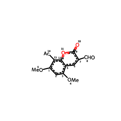 COc1cc(OC)c2cc(C=O)c(=O)oc2c1C(C)=O